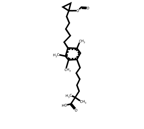 Cc1cc(CCCCCC(C)(C)C(=O)O)c(C)c(C)c1CCCCCC1(OC=O)CC1